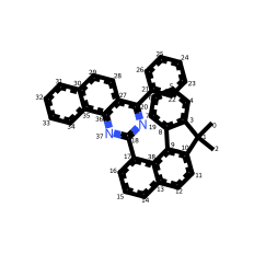 CC1(C)c2ccccc2-c2c1ccc1cccc(-c3nc(-c4ccccc4)c4ccc5ccccc5c4n3)c21